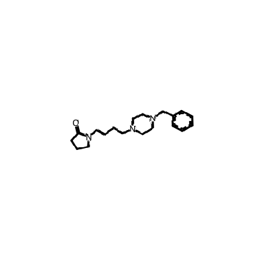 O=C1CCCN1CCCCN1CCN(Cc2ccccc2)CC1